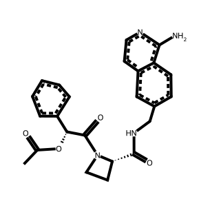 CC(=O)O[C@@H](C(=O)N1CC[C@H]1C(=O)NCc1ccc2c(N)nccc2c1)c1ccccc1